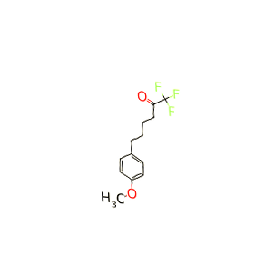 COc1ccc(CCCCC(=O)C(F)(F)F)cc1